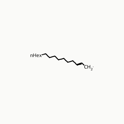 [CH2]C=CCCCCCCCCCCCCC